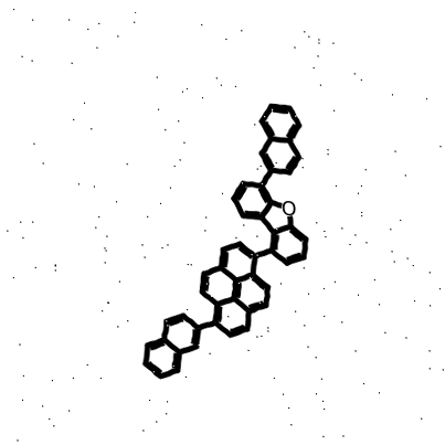 c1ccc2cc(-c3ccc4ccc5c(-c6cccc7oc8c(-c9ccc%10ccccc%10c9)cccc8c67)ccc6ccc3c4c65)ccc2c1